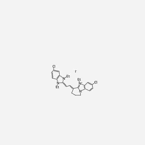 CCN1C(=CC=C2CCCn3c2[n+](CC)c2cc(Cl)ccc23)N(CC)c2cc(Cl)ccc21.[I-]